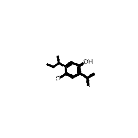 CCC(C)c1cc(O)c(C(C)C)cc1Cl